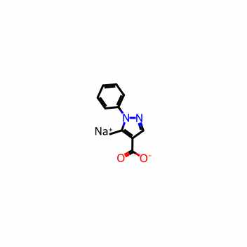 Cc1c(C(=O)[O-])cnn1-c1ccccc1.[Na+]